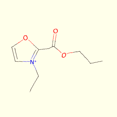 CCCOC(=O)c1occ[n+]1CC